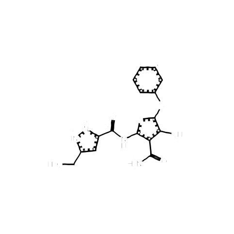 CCc1cc(C(=O)Nc2sc(Sc3ccccc3)c(C)c2C(N)=O)n[nH]1